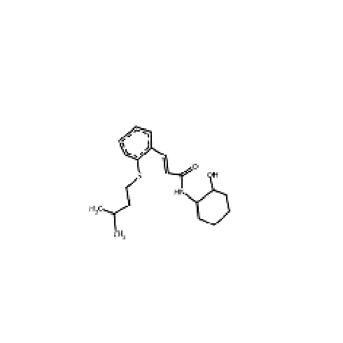 CC(C)CCSc1ccccc1C=CC(=O)NC1CCCCC1O